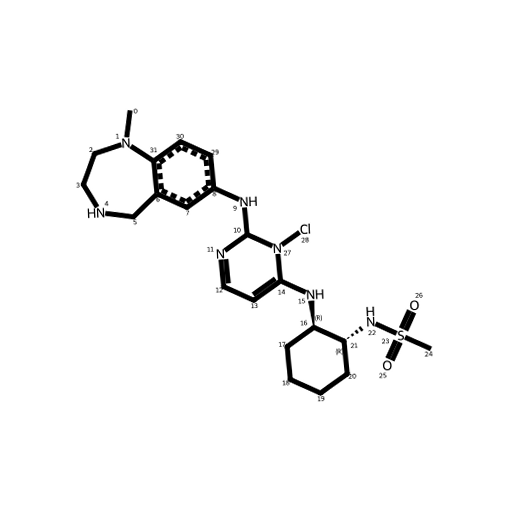 CN1CCNCc2cc(NC3N=CC=C(N[C@@H]4CCCC[C@H]4NS(C)(=O)=O)N3Cl)ccc21